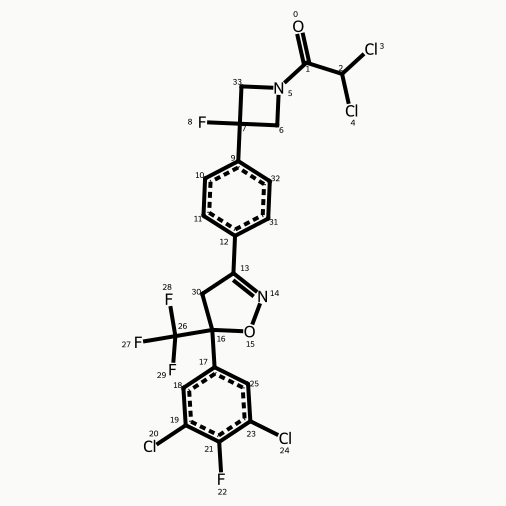 O=C(C(Cl)Cl)N1CC(F)(c2ccc(C3=NOC(c4cc(Cl)c(F)c(Cl)c4)(C(F)(F)F)C3)cc2)C1